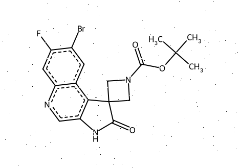 CC(C)(C)OC(=O)N1CC2(C1)C(=O)Nc1cnc3cc(F)c(Br)cc3c12